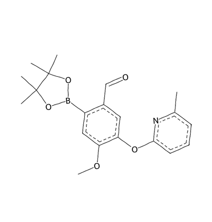 COc1cc(B2OC(C)(C)C(C)(C)O2)c(C=O)cc1Oc1cccc(C)n1